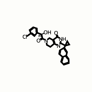 O=C([C@H](O)c1cccc(Cl)c1)N1CCc2nc(C3(c4ccc5ccccc5c4)CC3)[nH]c(=O)c2C1